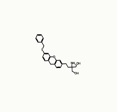 NC(CO)(CO)CCc1ccc2c(c1)Oc1cc(SCc3ccccc3)ccc1C2